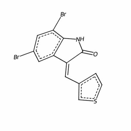 O=C1Nc2c(Br)cc(Br)cc2C1=Cc1ccsc1